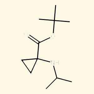 CC(C)NC1(C(=O)OC(C)(C)C)CC1